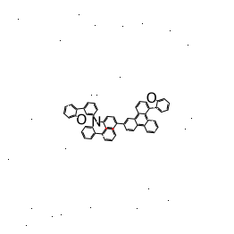 c1ccc(-c2ccccc2N(c2ccc(-c3ccc4c5ccccc5c5c(ccc6oc7ccccc7c65)c4c3)cc2)c2cccc3c2oc2ccccc23)cc1